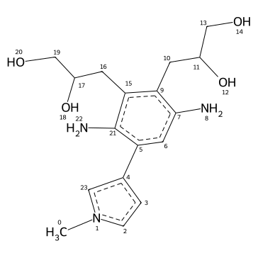 Cn1ccc(-c2cc(N)c(CC(O)CO)c(CC(O)CO)c2N)c1